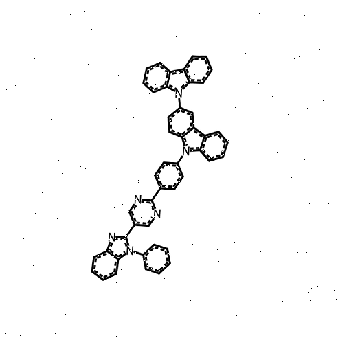 c1ccc(-n2c(-c3cnc(-c4ccc(-n5c6ccccc6c6cc(-n7c8ccccc8c8ccccc87)ccc65)cc4)nc3)nc3ccccc32)cc1